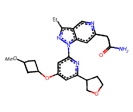 CCc1nn(-c2cc(OC3CC(OC)C3)cc(C3CCOC3)n2)c2cc(CC(N)=O)ncc12